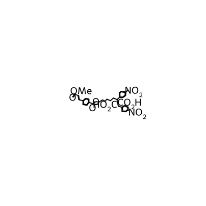 COC(=O)C=Cc1ccc(C(=O)OCCCCCCC(c2ccc([N+](=O)[O-])cc2)C(Cc2ccc([N+](=O)[O-])cc2)(C(=O)O)C(=O)O)cc1